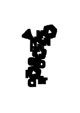 O=S(=O)(c1cnc(Cl)c(Br)c1)N1CCN(c2nc3ccccc3nc2NC2CC2)CC1